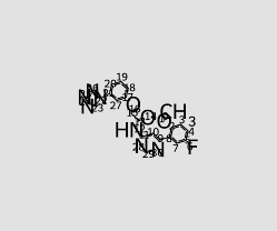 COc1ccc(F)cc1-c1cc(NC(=O)COc2cccc(-n3cnnn3)c2)ncn1